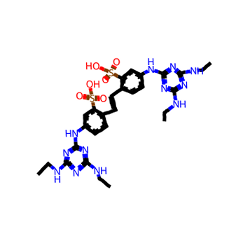 CCNc1nc(NCC)nc(Nc2ccc(/C=C/c3ccc(Nc4nc(NCC)nc(NCC)n4)cc3S(=O)(=O)O)c(S(=O)(=O)O)c2)n1